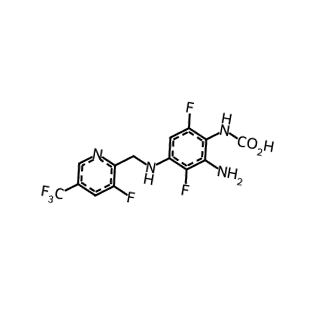 Nc1c(F)c(NCc2ncc(C(F)(F)F)cc2F)cc(F)c1NC(=O)O